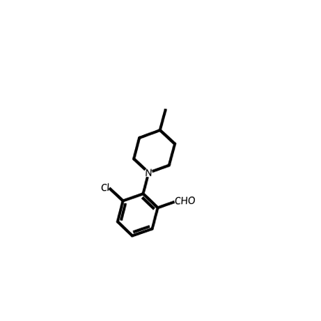 CC1CCN(c2c(Cl)cccc2C=O)CC1